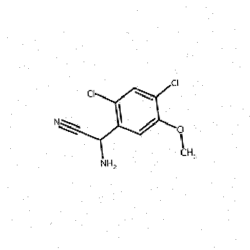 COc1cc(C(N)C#N)c(Cl)cc1Cl